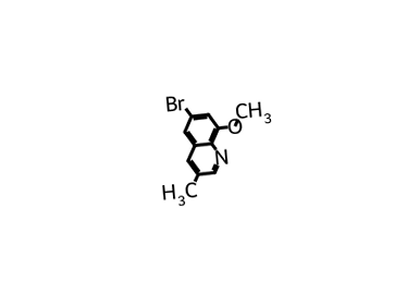 COc1cc(Br)cc2cc(C)cnc12